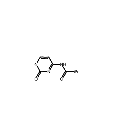 CC(C)C(=O)NC1=NC(=O)[N]C=C1